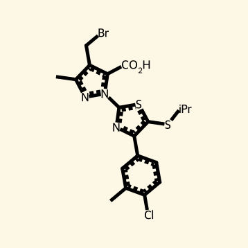 Cc1cc(-c2nc(-n3nc(C)c(CBr)c3C(=O)O)sc2SC(C)C)ccc1Cl